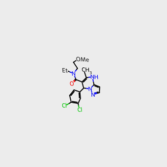 CCN(CCOC)C(=O)C1=C(C)Nc2ccnn2C1c1ccc(Cl)c(Cl)c1